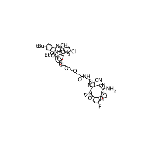 CCOc1cc(C(C)(C)C)ccc1C1=N[C@@](C)(c2ccc(Cl)cc2)[C@@](C)(c2ccc(Cl)cc2)N1C(=O)N1CCN(CCOCCOCCC(=O)NCCn2nc3c(c2C#N)-c2cnc(N)c(c2)N2CCC[C@@H]2c2cc(F)ccc2C(=O)N(C2CC2)C3)CC1